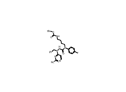 C=C(C#N)/N=C(\C=C/N)N(CC(C)C)NC(=O)N(CCCCNC(=O)OC(C)(C)C)c1ccc(F)cc1